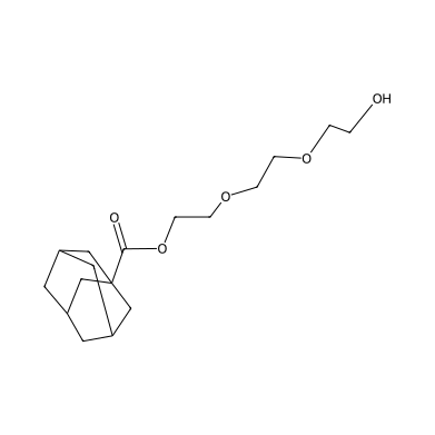 O=C(OCCOCCOCCO)C12CC3CC(CC(C3)C1)C2